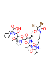 CC[C@H](C)[C@@H]([C@@H](CC(=O)N1CCC[C@H]1[C@H](OC)[C@@H](C)C(=O)N[C@@H](Cc1ccccc1)C(=O)O)OC)N(C)C(=O)[C@@H](NC(=O)C(C(C)C)N(C)C(=O)CCCCCN1C(=O)C(Br)=C(Br)C1=O)C(C)C